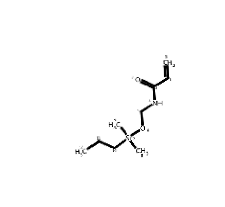 C=CC(=O)NCO[Si](C)(C)CCC